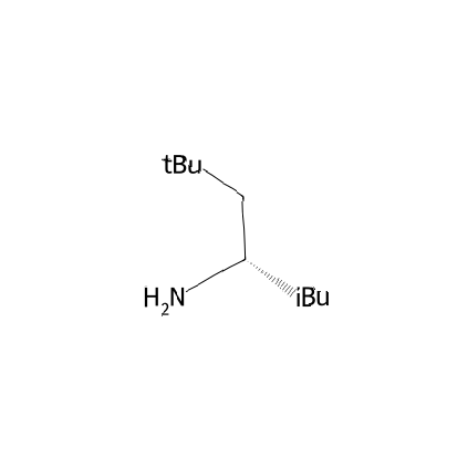 CCC(C)[C@H](N)CC(C)(C)C